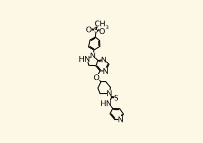 CS(=O)(=O)c1ccc(N2NCc3c(OC4CCN(C(=S)Nc5ccncc5)CC4)ncnc32)cc1